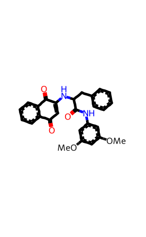 COc1cc(NC(=O)C(Cc2ccccc2)NC2=CC(=O)c3ccccc3C2=O)cc(OC)c1